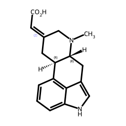 CN1C/C(=C\C(=O)O)C[C@@H]2c3cccc4[nH]cc(c34)C[C@H]21